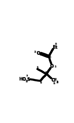 CCC(=O)OC(C)(CS(=O)(=O)O)C(F)(F)F